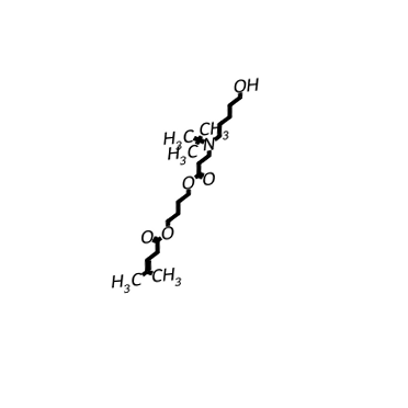 CC(C)=CCC(=O)OCCCCOC(=O)CCN(CCCCCO)C(C)(C)C